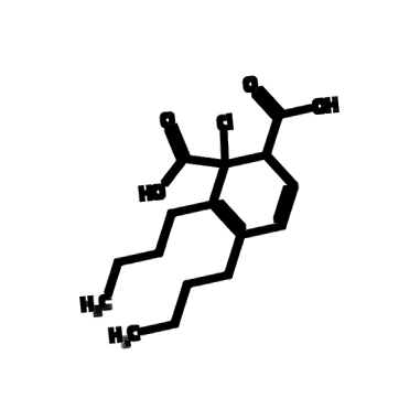 CCCCC1=C(CCCC)C(Cl)(C(=O)O)C(C(=O)O)C=C1